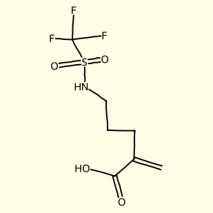 C=C(CCCNS(=O)(=O)C(F)(F)F)C(=O)O